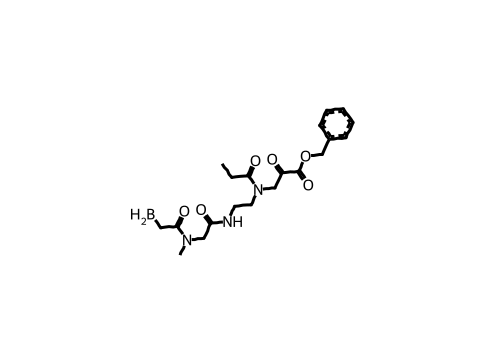 BCC(=O)N(C)CC(=O)NCCN(CC(=O)C(=O)OCc1ccccc1)C(=O)CC